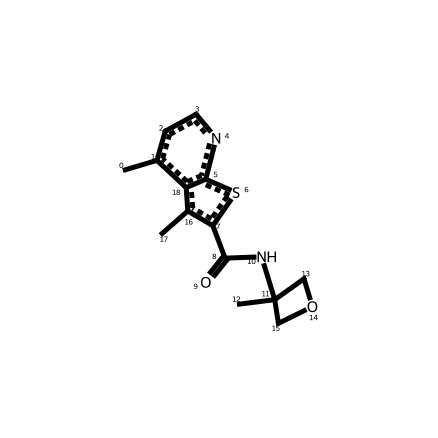 Cc1ccnc2sc(C(=O)NC3(C)COC3)c(C)c12